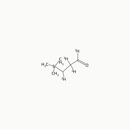 [2H]C(=O)C([2H])([2H])C([2H])[Si](C)(C)C